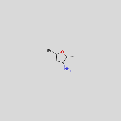 CC(C)C1CC(N)C(C)O1